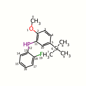 COc1ccc([Si](C)(C)C)cc1Pc1ccccc1F